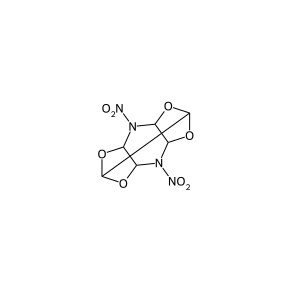 O=[N+]([O-])N1C2OC3OC2N([N+](=O)[O-])C2OC3OC21